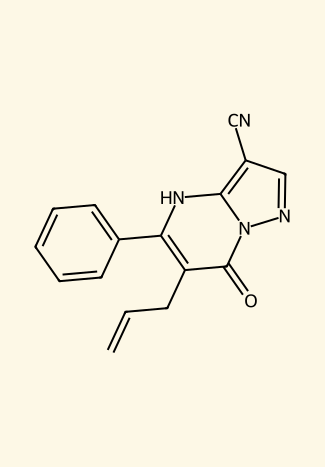 C=CCc1c(-c2ccccc2)[nH]c2c(C#N)cnn2c1=O